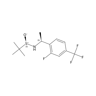 C[C@H](N[S@+]([O-])C(C)(C)C)c1ccc(C(F)(F)F)cc1F